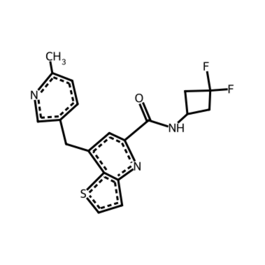 Cc1ccc(Cc2cc(C(=O)NC3CC(F)(F)C3)nc3ccsc23)cn1